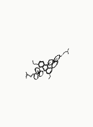 CCc1ccc2c(OC(=O)OCCC(C)C)c3ccc(CC)cc3c(OC(=O)OCCC(C)C)c2c1